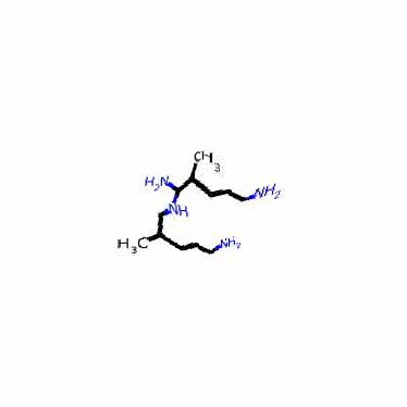 CC(CCCN)CNC(N)C(C)CCCN